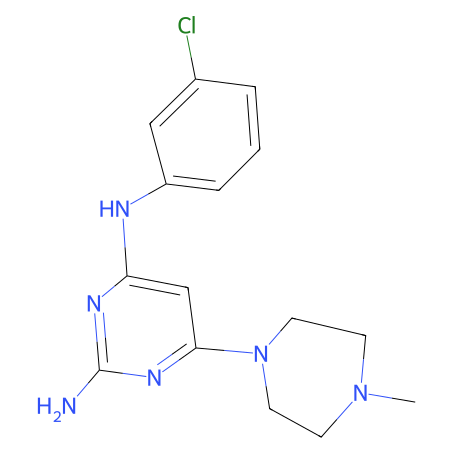 CN1CCN(c2cc(Nc3cccc(Cl)c3)nc(N)n2)CC1